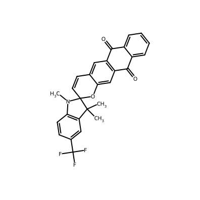 CN1c2ccc(C(F)(F)F)cc2C(C)(C)C12C=Cc1cc3c(cc1O2)C(=O)c1ccccc1C3=O